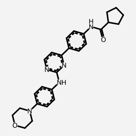 O=C(Nc1ccc(-c2ccnc(Nc3ccc(N4CCOCC4)cc3)n2)cc1)C1CCCC1